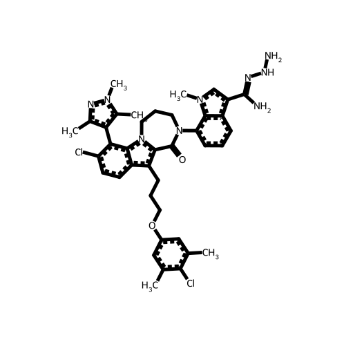 Cc1cc(OCCCc2c3n(c4c(-c5c(C)nn(C)c5C)c(Cl)ccc24)CCCN(c2cccc4c(/C(N)=N/NN)cn(C)c24)C3=O)cc(C)c1Cl